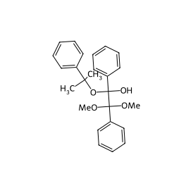 COC(OC)(c1ccccc1)C(O)(OC(C)(C)c1ccccc1)c1ccccc1